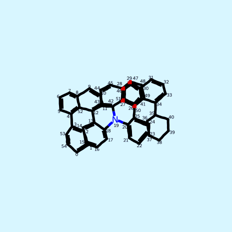 c1ccc(-c2cccc3cccc(-c4ccccc4N(c4ccccc4-c4cccc5cccc(C6CCCCC6)c45)c4cccc5ccccc45)c23)cc1